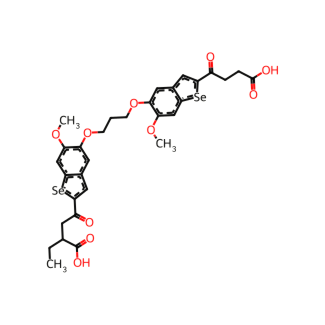 CCC(CC(=O)c1cc2cc(OCCCOc3cc4cc(C(=O)CCC(=O)O)[se]c4cc3OC)c(OC)cc2[se]1)C(=O)O